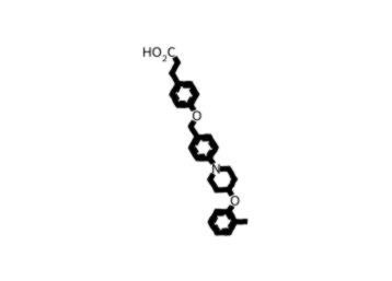 Cc1ccccc1OC1CCN(c2ccc(COc3ccc(CCC(=O)O)cc3)cc2)CC1